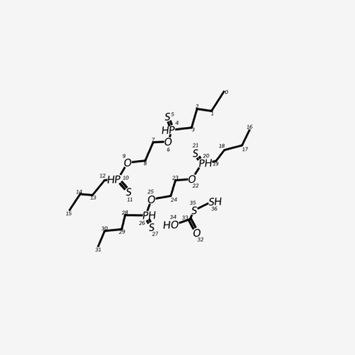 CCCC[PH](=S)OCCO[PH](=S)CCCC.CCCC[PH](=S)OCCO[PH](=S)CCCC.O=C(O)SS